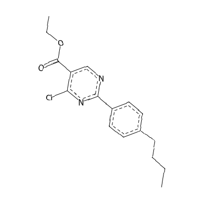 CCCCc1ccc(-c2ncc(C(=O)OCC)c(Cl)n2)cc1